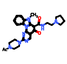 CC(=O)N1CCN(c2ncc3c(=O)c(C(=O)NCCN4CCCC4)c4n(C)c5ccccc5n4c3n2)CC1